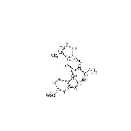 COc1ccc2c(c1)sc1nc(N)n/c(=N\c3c(Cl)cccc3Cl)n12